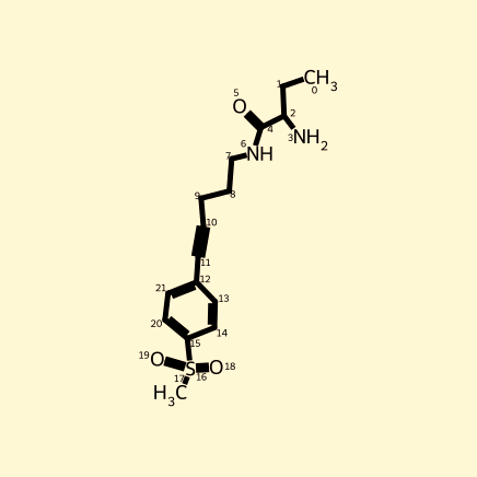 CCC(N)C(=O)NCCCC#Cc1ccc(S(C)(=O)=O)cc1